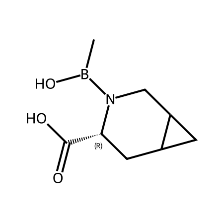 CB(O)N1CC2CC2C[C@@H]1C(=O)O